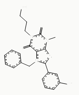 Cn1c(=O)n(CCCO)c(=O)c2c1nc(-c1cccc(C(F)(F)F)c1)n2Cc1ccccc1